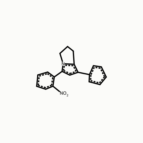 O=[N+]([O-])c1ccccc1-c1cc(-c2ccccc2)c2n1CCC2